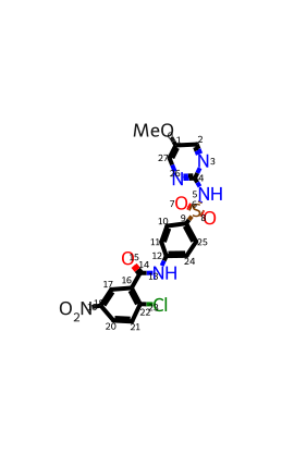 COc1cnc(NS(=O)(=O)c2ccc(NC(=O)c3cc([N+](=O)[O-])ccc3Cl)cc2)nc1